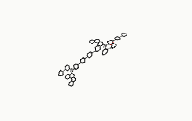 c1ccc(-c2ccc(-c3ccc(N(c4ccccc4-c4ccccc4)c4cc5ccc6ccccc6c5c5cc(-c6ccc(-c7ccc(-c8ccc(N(c9cccc(-c%10ccccc%10)c9)c9cc%10ccc%11ccccc%11c%10c%10ccccc9%10)cc8)cc7)cc6)ccc45)cc3)cc2)cc1